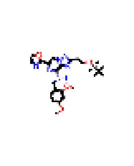 COc1ccc(CNc2nc(-c3ncco3)cn3nc(CCO[Si](C)(C)C(C)(C)C)nc23)c(OC)c1